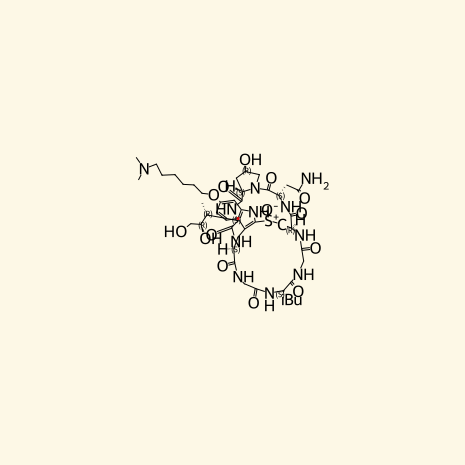 CC[C@H](C)C1NC(=O)CNC(=O)[C@@H]2Cc3c([nH]c4cc(OCCCCCCN(C)C)ccc34)[S+]([O-])C[C@H](NC(=O)CNC1=O)C(=O)N[C@@H](CC(N)=O)C(=O)N1C[C@H](O)C[C@H]1C(=O)N[C@@H]([C@@H](C)[C@@H](O)CO)C(=O)N2